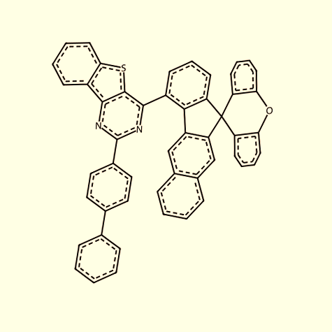 c1ccc(-c2ccc(-c3nc(-c4cccc5c4-c4cc6ccccc6cc4C54c5ccccc5Oc5ccccc54)c4sc5ccccc5c4n3)cc2)cc1